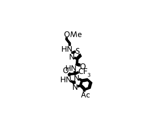 COCCNc1nc(C(=O)NC2(C(F)(F)F)C(=O)Nc3nc4c(C(C)=O)cccc4n32)cs1